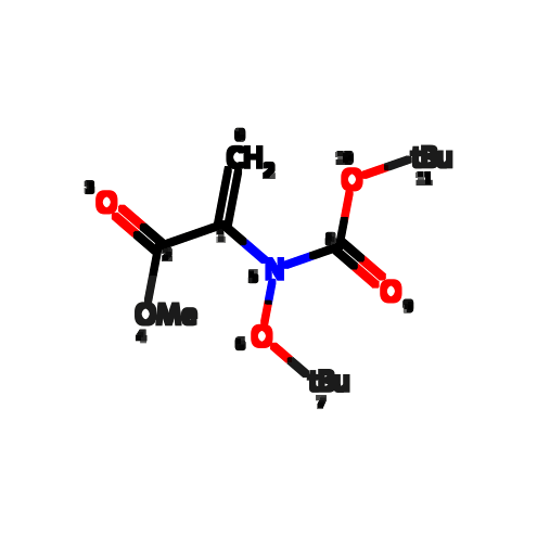 C=C(C(=O)OC)N(OC(C)(C)C)C(=O)OC(C)(C)C